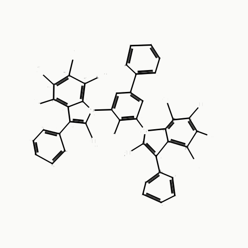 [2H]c1c([2H])c([2H])c2c(c1[2H])c(-c1ccccc1)c([2H])n2-c1cc(-c2ccccc2)cc(-n2c([2H])c(-c3ccccc3)c3c([2H])c([2H])c([2H])c([2H])c32)c1C